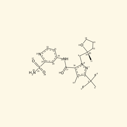 Cc1c(C(C)(F)F)nn(C[C@@]2(C)CCCO2)c1C(=O)Nc1ccnc(S(N)(=O)=O)c1